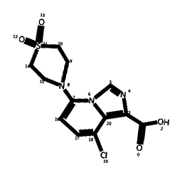 O=C(O)c1ncn2c(N3CCS(=O)(=O)CC3)ccc(Cl)c12